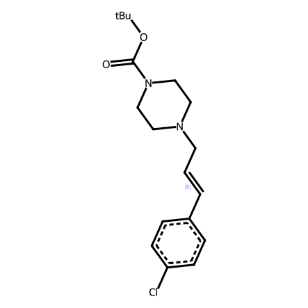 CC(C)(C)OC(=O)N1CCN(C/C=C/c2ccc(Cl)cc2)CC1